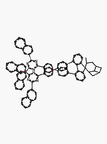 CC1CC2CC3CC(C23)C12c1cccc(-c3ccc(-c4ccc(-c5nc(-c6ccc7ccccc7c6)nc(-c6ccc7ccccc7c6)n5)cc4)cc3)c1-c1c(-c3ccc(-c4ccc(-c5nc(-c6ccc7ccccc7c6)nc(-c6ccc7ccccc7c6)n5)cc4)cc3)cccc12